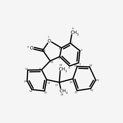 Cc1cccc2c1OC(=O)C2c1ccccc1C(C)(C)c1ccccc1